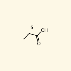 CCC(=O)O.[S]